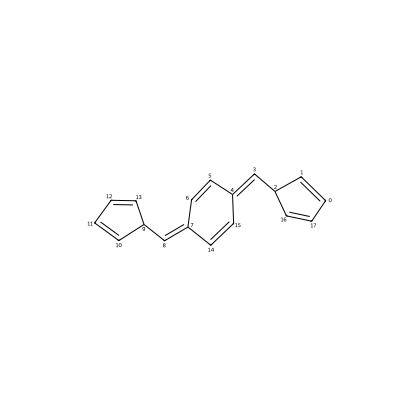 C1=CC(C=c2ccc(=CC3C=CC=C3)cc2)C=C1